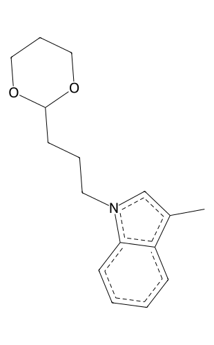 Cc1cn(CCCC2OCCCO2)c2ccccc12